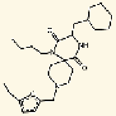 CCCCN1C(=O)C(CC2CCCCC2)NC(=O)C12CCN(Cc1ccc(CC)o1)CC2